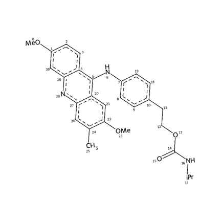 COc1ccc2c(Nc3ccc(CCOC(=O)NC(C)C)cc3)c3cc(OC)c(C)cc3nc2c1